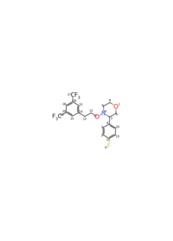 Fc1ccc(C2COCCN2OCCc2cc(C(F)(F)F)cc(C(F)(F)F)c2)cc1